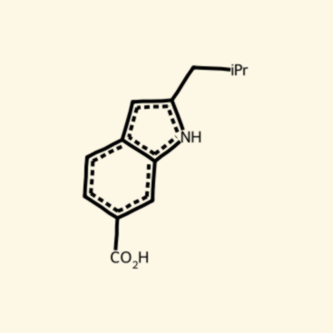 CC(C)Cc1cc2ccc(C(=O)O)cc2[nH]1